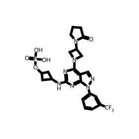 O=C1CCCN1C1CN(c2nc(NC3CC(OP(=O)(O)O)C3)nc3c2cnn3-c2cccc(C(F)(F)F)c2)C1